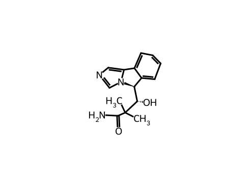 CC(C)(C(N)=O)[C@@H](O)[C@@H]1c2ccccc2-c2cncn21